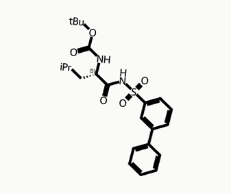 CC(C)C[C@H](NC(=O)OC(C)(C)C)C(=O)NS(=O)(=O)c1cccc(-c2ccccc2)c1